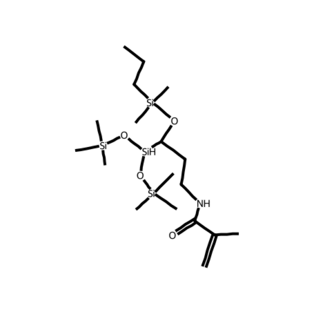 C=C(C)C(=O)NCCC(O[Si](C)(C)CCC)[SiH](O[Si](C)(C)C)O[Si](C)(C)C